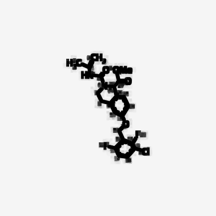 C=C(C)NC(=O)N1CCc2cc(OCc3c(F)ccc(Cl)c3F)ccc2[C@@H]1C(=O)OC